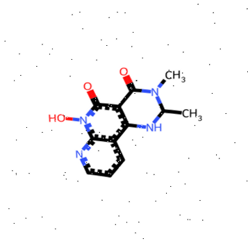 CC1Nc2c(c(=O)n(O)c3ncccc23)C(=O)N1C